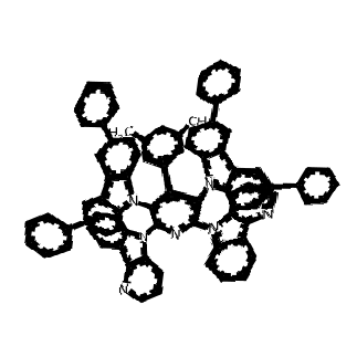 Cc1cc(C)cc(-c2c(-n3c4ccc(-c5ccccc5)cc4c4cc(-c5ccccc5)ccc43)c(-n3c4ccccc4c4ncccc43)nc(-n3c4ccccc4c4ncccc43)c2-n2c3ccc(-c4ccccc4)cc3c3cc(-c4ccccc4)ccc32)c1